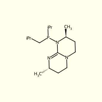 CC(C)CP(C(C)C)N1C2=N[C@@H](C)CCN2CC[C@@H]1C